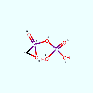 O=P(O)(O)OP1(=O)CO1